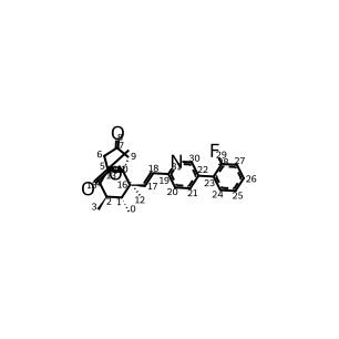 C[C@@H]1[C@@H](C)C[C@]23CC(=O)C[C@]2([C@@H](C)OC3=O)[C@H]1/C=C/c1ccc(-c2ccccc2F)cn1